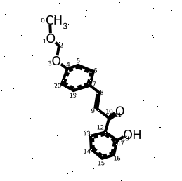 COCOc1ccc(C=CC(=O)c2ccccc2O)cc1